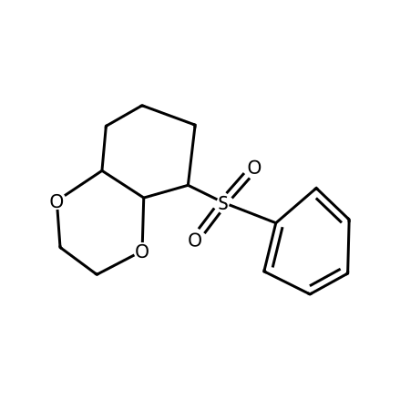 O=S(=O)(c1ccccc1)C1CCCC2OCCOC21